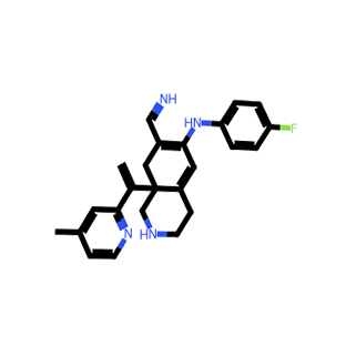 C=C(c1cc(C)ccn1)C12CNCCC1=CC(Nc1ccc(F)cc1)=C(C=N)C2